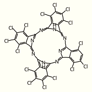 Clc1cc(Cl)c2c(c1Cl)-c1nc-2nc2[nH]c(nc3nc(nc4[nH]c(n1)c1c(Cl)c(Cl)c(Cl)c(Cl)c41)-c1c(Cl)c(Cl)c(Cl)c(Cl)c1-3)c1c(Cl)c(Cl)c(Cl)c(Cl)c21